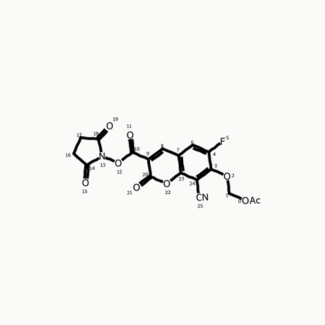 CC(=O)OCOc1c(F)cc2cc(C(=O)ON3C(=O)CCC3=O)c(=O)oc2c1C#N